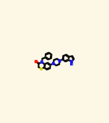 O=C1CSc2ccc(N3CCN(c4ccc5cc[nH]c5c4)CC3)cc2N1Cc1ccccc1